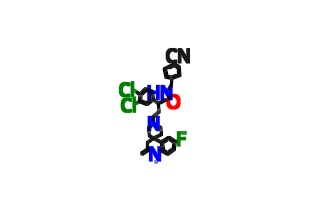 C=C1CC2(CCN(CCC(C(=O)NCc3ccc(C#N)cc3)c3ccc(Cl)c(Cl)c3)CC2)c2cc(F)ccc2N1C